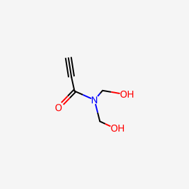 C#CC(=O)N(CO)CO